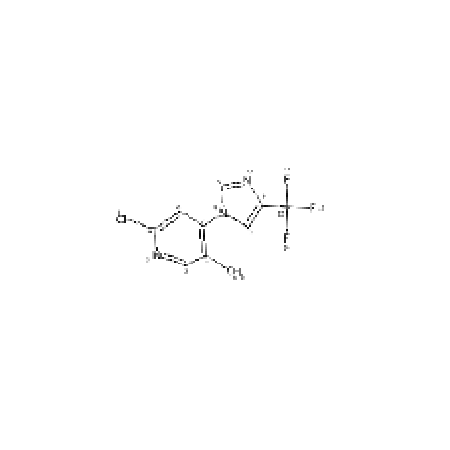 Cc1cnc(Cl)cc1-n1cnc(C(F)(F)F)c1